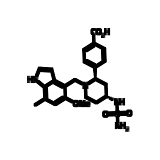 COc1cc(C)c2[nH]ccc2c1CN1CC[C@@H](NS(N)(=O)=O)C[C@@H]1c1ccc(C(=O)O)cc1